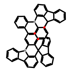 CC12c3ccccc3-c3cccc(c31)N(c1ccccc1-c1ccc3c(c1)-n1c4ccccc4c4cccc(c41)C31c3ccccc3-c3ccccc31)c1ccccc12